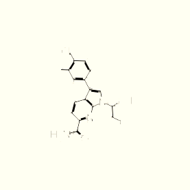 CCC(C)n1cc(-c2ccc(Cl)c(F)c2)c2ccc(C(N)=O)nc21